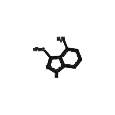 CCCCCc1n[nH]c2cccc(N)c12